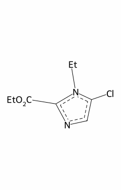 CCOC(=O)c1ncc(Cl)n1CC